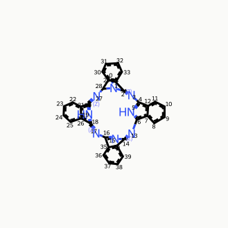 CN1/C2=N\c3[nH]c(c4ccccc34)/N=C3N=C(/N=c4\[nH]/c(c5ccccc45)=N\C1c1ccccc12)c1ccccc1\3